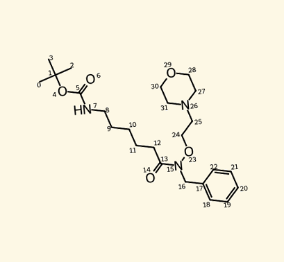 CC(C)(C)OC(=O)NCCCCCC(=O)N(Cc1ccccc1)OCCN1CCOCC1